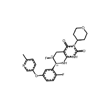 Cc1ccc(Oc2ccc(F)c([C@@H]3Nc4[nH]c(=O)n(C5CCOCC5)c(=O)c4C[C@@H]3F)c2)cn1